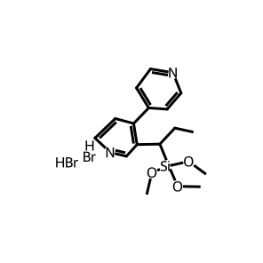 Br.Br.CCC(c1cnccc1-c1ccncc1)[Si](OC)(OC)OC